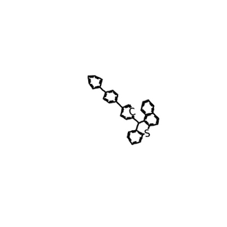 c1ccc(-c2ccc(-c3ccc(C4c5ccccc5Sc5ccc6ccccc6c54)cc3)cc2)cc1